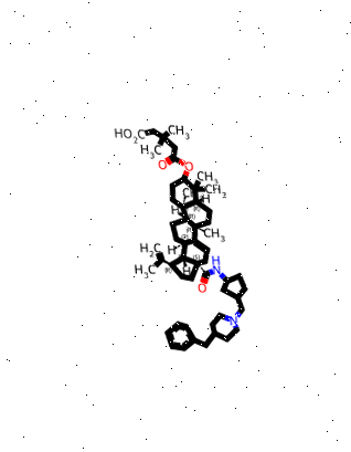 C=C(C)[C@@H]1CC[C@]2(C(=O)NC3CCC(CN4CCC(Cc5ccccc5)CC4)C3)CC=C3[C@H](CC[C@@H]4[C@@]5(C)CCC(OC(=O)CC(C)(C)CC(=O)O)C(C)(C)[C@@H]5CC[C@@]34C)[C@@H]12